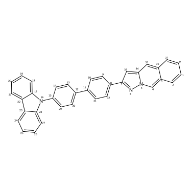 c1ccc2cn3nc(-c4ccc(-c5ccc(-n6c7ccccc7c7ccccc76)cc5)cc4)cc3cc2c1